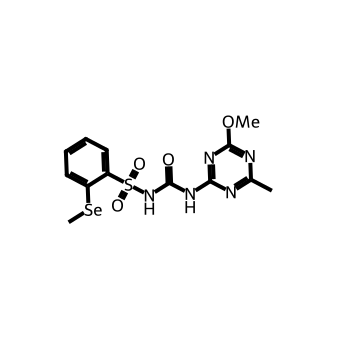 COc1nc(C)nc(NC(=O)NS(=O)(=O)c2ccccc2[Se]C)n1